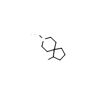 CCCC(C)N1CCC2(CCCC2N)CC1